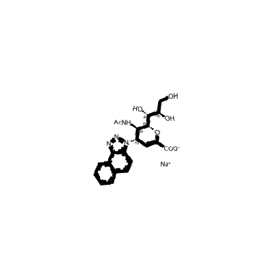 CC(=O)N[C@H]1[C@H]([C@H](O)[C@H](O)CO)OC(C(=O)[O-])=C[C@@H]1n1nnc2c3ccccc3ccc21.[Na+]